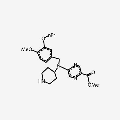 CCCOc1cc(CN(c2cnc(C(=O)OC)cn2)C2CCNCC2)ccc1OC